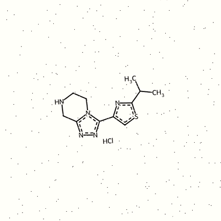 CC(C)c1nc(-c2nnc3n2CCNC3)cs1.Cl